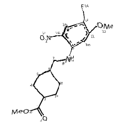 COC(=O)C1CCC(CNc2cc(OC)c(F)cc2[N+](=O)[O-])CC1